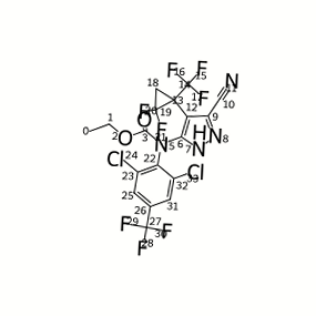 CCOC(=O)N(c1[nH]nc(C#N)c1C1(C(F)(F)F)CC1(F)F)c1c(Cl)cc(C(F)(F)F)cc1Cl